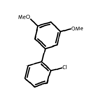 COc1cc(OC)cc(-c2[c]cccc2Cl)c1